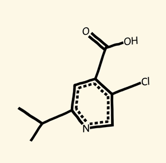 CC(C)c1cc(C(=O)O)c(Cl)cn1